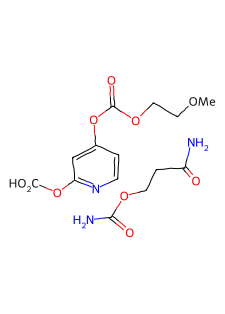 COCCOC(=O)Oc1ccnc(OC(=O)O)c1.NC(=O)CCOC(N)=O